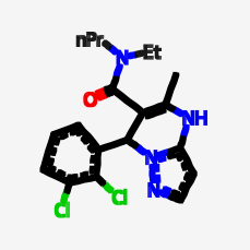 CCCN(CC)C(=O)C1=C(C)Nc2ccnn2C1c1cccc(Cl)c1Cl